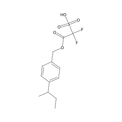 CCC(C)c1ccc(COC(=O)C(F)(F)S(=O)(=O)O)cc1